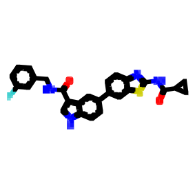 O=C(NCc1cccc(F)c1)c1c[nH]c2ccc(-c3ccc4nc(NC(=O)C5CC5)sc4c3)cc12